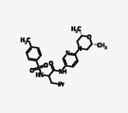 Cc1ccc(S(=O)(=O)NC(CC(C)C)C(=O)Nc2ccc(N3C[C@@H](C)O[C@@H](C)C3)nc2)cc1